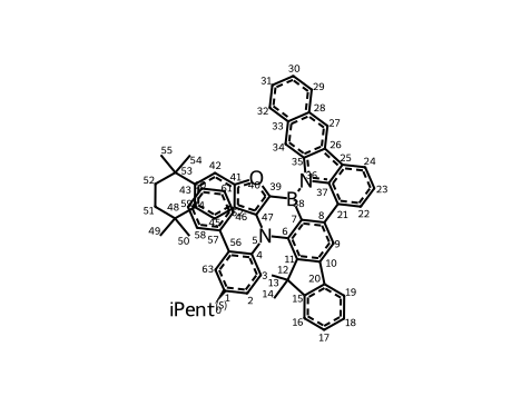 CCC[C@H](C)c1ccc(N2c3c4c(cc5c3C(C)(C)c3ccccc3-5)-c3cccc5c6cc7ccccc7cc6n(c35)B4c3oc4cc5c(cc4c32)C(C)(C)CCC5(C)C)c(-c2ccccc2)c1